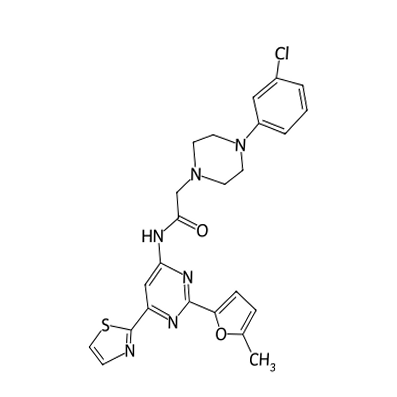 Cc1ccc(-c2nc(NC(=O)CN3CCN(c4cccc(Cl)c4)CC3)cc(-c3nccs3)n2)o1